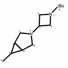 CC1C2CN(C3CN(C(C)(C)C)C3)CC12